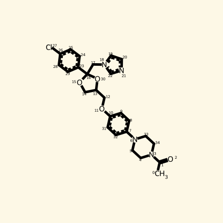 CC(=O)N1CCN(c2ccc(OCC3COC(Cn4ccnc4)(c4ccc(Cl)cc4)O3)cc2)CC1